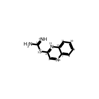 N=C(N)Sc1cnc2ccccc2n1